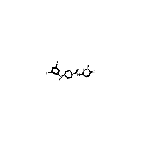 CN(c1cc(F)cc(F)c1)C1CCN(C(=O)Nc2ccc(=O)n(C)n2)CC1